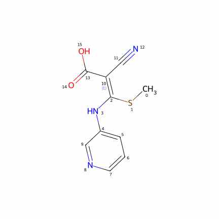 CS/C(Nc1cccnc1)=C(\C#N)C(=O)O